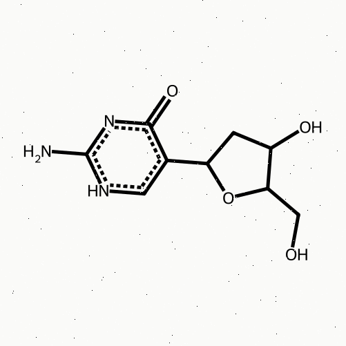 Nc1nc(=O)c(C2CC(O)C(CO)O2)c[nH]1